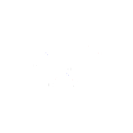 CCOC12CCN(Cc3c(OC)cc(C)c4[nH]ccc34)C(c3ccc(C(=O)O)cc3)C1C2